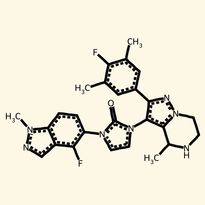 Cc1cc(-c2nn3c(c2-n2ccn(-c4ccc5c(cnn5C)c4F)c2=O)C(C)NCC3)cc(C)c1F